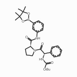 CC(C)COC(=O)N[C@@H](C(=O)N1CCC[C@H]1C(=O)Nc1cccc(B2OC(C)(C)C(C)(C)O2)c1)c1ccccc1